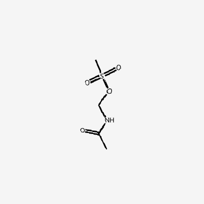 CC(=O)NCOS(C)(=O)=O